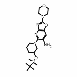 CC(C)(C)[Si](C)(C)OC1CCCN(c2nc3nc(N4CCOCC4)oc3cc2N)C1